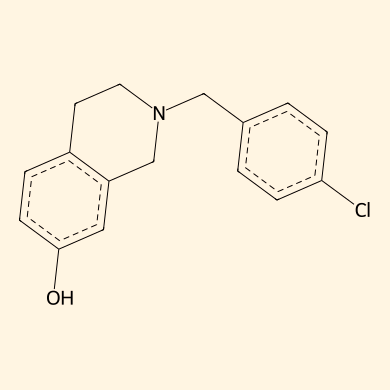 Oc1ccc2c(c1)CN(Cc1ccc(Cl)cc1)CC2